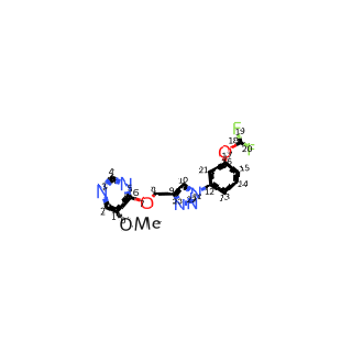 COc1cncnc1OCc1cn(-c2cccc(OC(F)F)c2)nn1